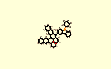 c1ccc(-c2cc3ccccc3cc2-c2c3ccccc3c(-c3ccc4c(c3)c3ccccc3p4-c3ccccc3)c3cc4ccccc4cc23)cc1